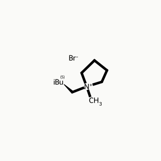 CC[C@H](C)C[N+]1(C)CCCC1.[Br-]